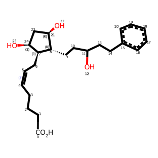 O=C(O)CCC/C=C\C[C@@H]1[C@@H](CCC(O)CCc2ccccc2)[C@H](O)C[C@@H]1O